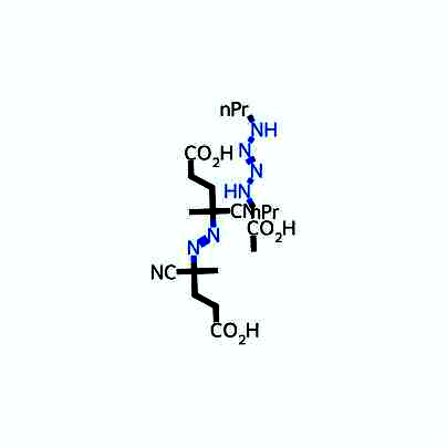 CC(=O)O.CC(C#N)(CCC(=O)O)N=NC(C)(C#N)CCC(=O)O.CCCNN=NNCCC